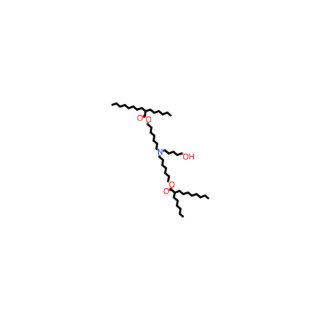 CCCCCCCCC(CCCCCC)C(=O)OCCCCCCCN(CCCCCO)CCCCCCCOC(=O)C(CCCCCC)CCCCCCCC